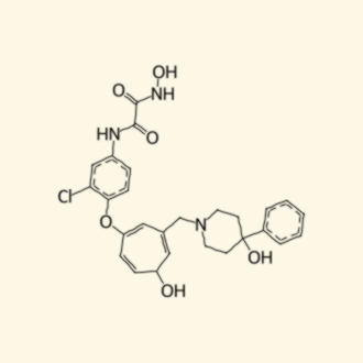 O=C(NO)C(=O)Nc1ccc(OC2=CC(CN3CCC(O)(c4ccccc4)CC3)=CC(O)C=C2)c(Cl)c1